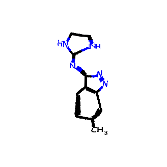 Cc1ccc2c(c1)N=NC2=NC1NCCN1